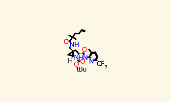 C=CCCC(C)(C)C(=O)NC[C@@]12C[C@H](C(=O)Nc3nc(C(F)(F)F)ccc3C)N(C(=O)OC(C)(C)C)[C@@H]1C2